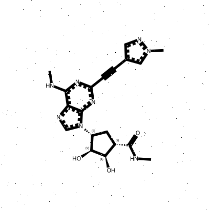 CNC(=O)[C@H]1C[C@@H](n2cnc3c(NC)nc(C#Cc4cnn(C)c4)nc32)[C@H](O)[C@@H]1O